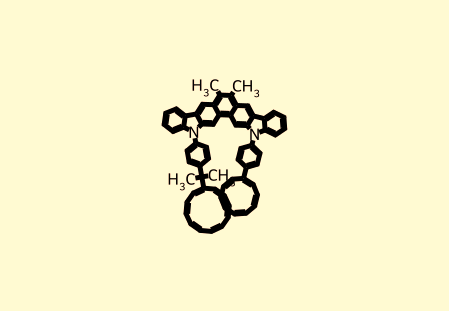 Cc1c(C)c2cc3c4ccccc4n(-c4ccc(C(C)(C)C5=C/C=C\C=C/C=C\C=C/C=C\5)cc4)c3cc2c2cc3c(cc12)c1ccccc1n3-c1ccc(-c2ccccccccc2)cc1